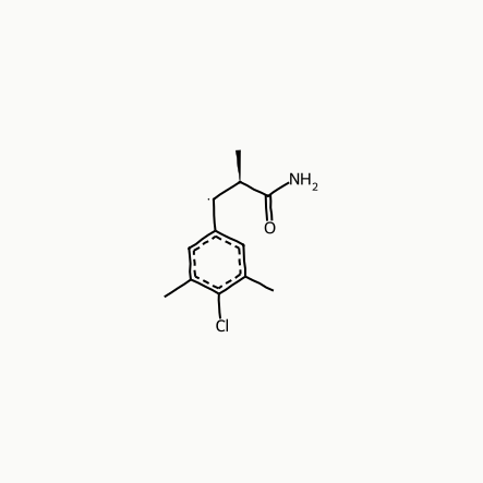 Cc1cc([CH][C@@H](C)C(N)=O)cc(C)c1Cl